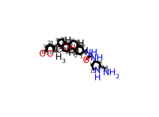 C[C@]12CC[C@H](NC(=O)NC3CCN[C@H](CN)C3)C[C@H]1CC[C@@H]1[C@@H]2CC[C@]2(C)[C@@H](c3ccc(=O)oc3)CC[C@]12O